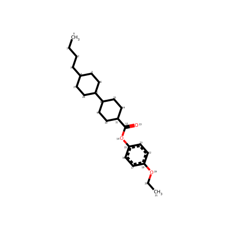 CCCCC1CCC(C2CCC(C(=O)Oc3ccc(OCC)cc3)CC2)CC1